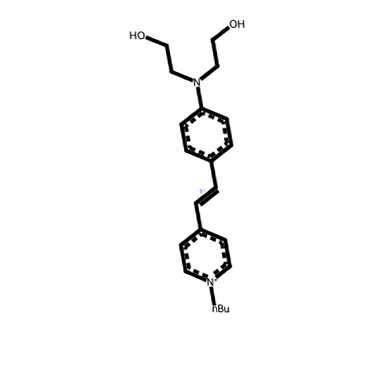 CCCC[n+]1ccc(/C=C/c2ccc(N(CCO)CCO)cc2)cc1